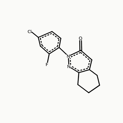 O=c1cc2c(nn1-c1ccc(Cl)cc1F)CCCC2